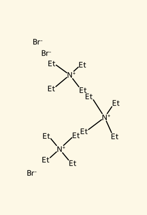 CC[N+](CC)(CC)CC.CC[N+](CC)(CC)CC.CC[N+](CC)(CC)CC.[Br-].[Br-].[Br-]